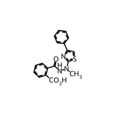 CN(NC(=O)c1ccccc1C(=O)O)c1nc(-c2ccccc2)cs1